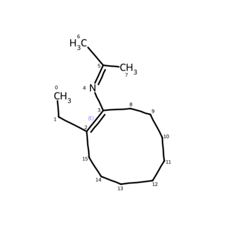 CC/C1=C(\N=C(C)C)CCCCCCCC1